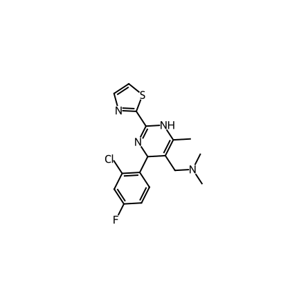 CC1=C(CN(C)C)C(c2ccc(F)cc2Cl)N=C(c2nccs2)N1